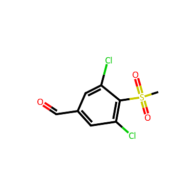 CS(=O)(=O)c1c(Cl)cc(C=O)cc1Cl